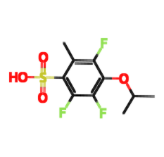 Cc1c(F)c(OC(C)C)c(F)c(F)c1S(=O)(=O)O